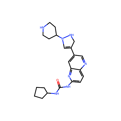 O=C(Nc1ccc2ncc(C3=CN(C4CCNCC4)NC3)cc2n1)NC1CCCC1